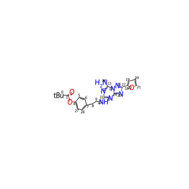 CC(C)(C)C(=O)Oc1ccc(CCNc2nc(N)n3nc(-c4ccco4)nc3n2)cc1